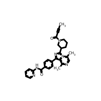 CC#CC(=O)N1CCCC(c2nc(-c3ccc(C(=O)Nc4ccccn4)cc3)c3c(C)ncc(C)n23)C1